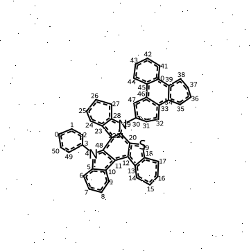 c1ccc(-n2c3ccccc3c3c4c5ccccc5sc4c4c(c5ccccc5n4-c4ccc5c6ccccc6c6ccccc6c5c4)c32)cc1